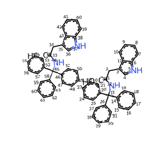 O=C(O)[C@@H](Cc1c[nH]c2ccccc12)NC(c1ccccc1)(c1ccccc1)c1ccccc1.O=C(O)[C@H](Cc1c[nH]c2ccccc12)NC(c1ccccc1)(c1ccccc1)c1ccccc1